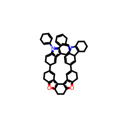 C1=CCC(N2C3=C(CCCC3)C3C=C(C4=Cc5c(oc6c5-c5c(oc7c5C=C(C5C=c8c9c(n(C%10=CCCC=C%10)c8=CC5)C=CCC9)CC7)CC6)CC4)C=CC32)C=C1